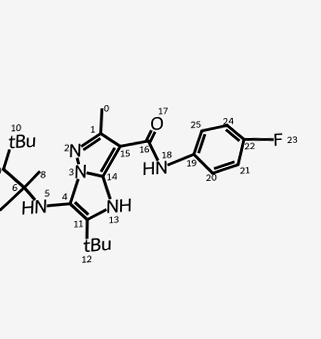 Cc1nn2c(NC(C)(C)CC(C)(C)C)c(C(C)(C)C)[nH]c2c1C(=O)Nc1ccc(F)cc1